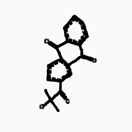 CC(C)(Cl)C(=O)c1ccc2c(c1)C(=O)c1ccccc1C2=O